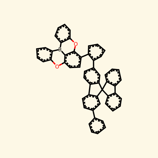 c1ccc(-c2ccc3c(c2)C2(c4ccccc4-c4ccccc42)c2cc(-c4ccccc4-c4ccc5c6c4Oc4ccccc4B6c4ccccc4O5)ccc2-3)cc1